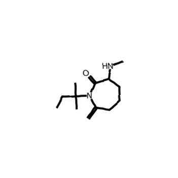 C=C1CCCC(NC)C(=O)N1C(C)(C)CC